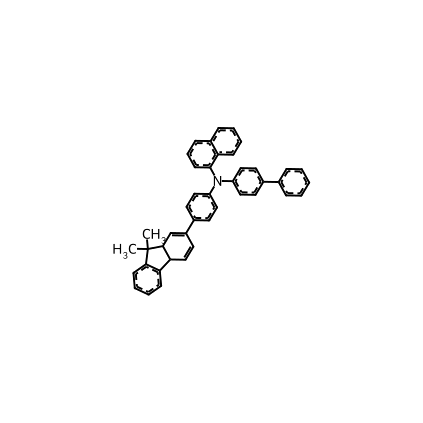 CC1(C)c2ccccc2C2C=CC(c3ccc(N(c4ccc(-c5ccccc5)cc4)c4cccc5ccccc45)cc3)=CC21